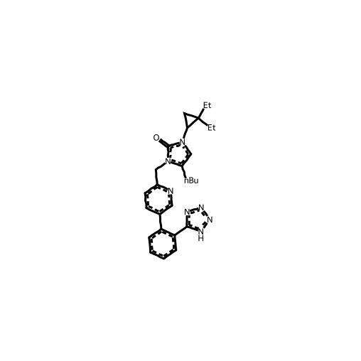 CCCCc1cn(C2CC2(CC)CC)c(=O)n1Cc1ccc(-c2ccccc2-c2nnn[nH]2)cn1